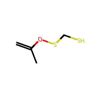 C=C(C)OSCS